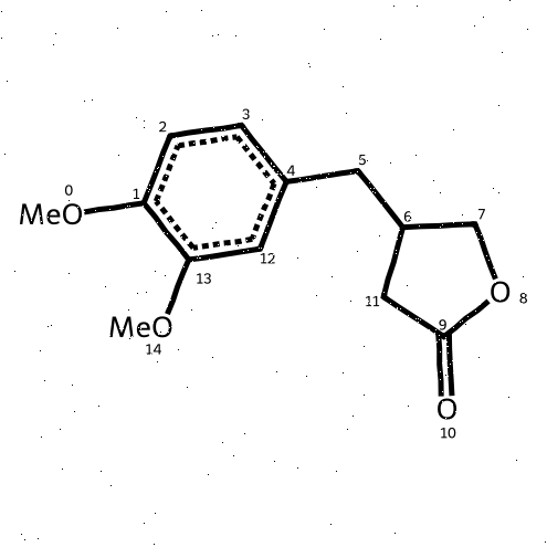 COc1ccc(CC2COC(=O)C2)cc1OC